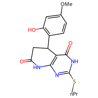 CCCSc1nc2c(c(=O)[nH]1)C(c1ccc(OC)cc1O)CC(=O)N2